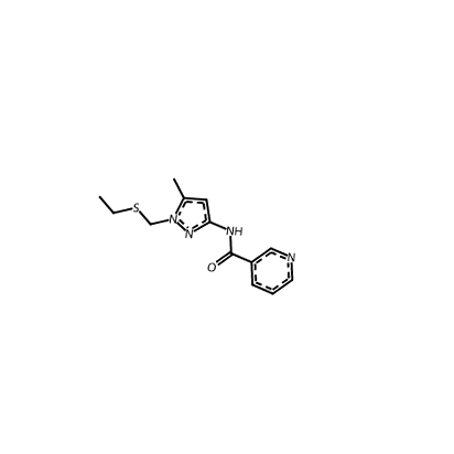 CCSCn1nc(NC(=O)c2cccnc2)cc1C